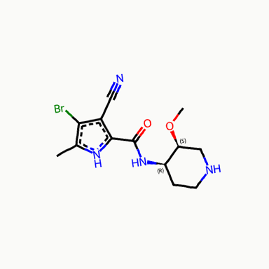 CO[C@H]1CNCC[C@H]1NC(=O)c1[nH]c(C)c(Br)c1C#N